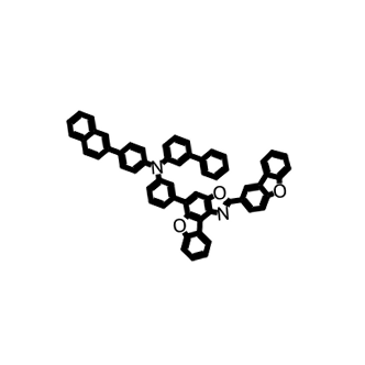 c1ccc(-c2cccc(N(c3ccc(-c4ccc5ccccc5c4)cc3)c3cccc(-c4cc5oc(-c6ccc7oc8ccccc8c7c6)nc5c5c4oc4ccccc45)c3)c2)cc1